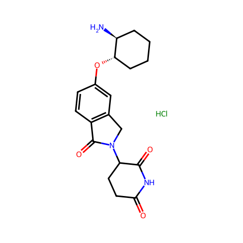 Cl.N[C@H]1CCCC[C@@H]1Oc1ccc2c(c1)CN(C1CCC(=O)NC1=O)C2=O